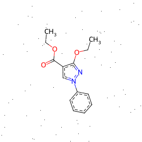 CCOC(=O)c1cn(-c2ccccc2)nc1OCC